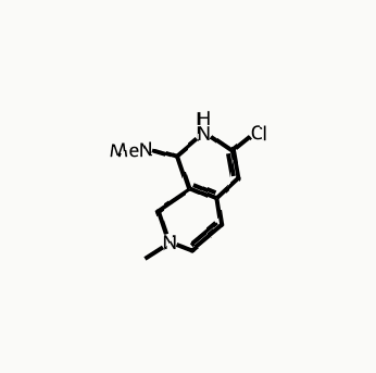 CNC1NC(Cl)=CC2=C1CN(C)C=C2